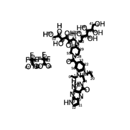 CCn1c(CNC(=O)c2nc3cc[nH]c3nc2N)[n+](CC)c2ccc(C(=O)N3CCC(N(C[C@H](O)[C@@H](O)[C@H](O)[C@H](O)CO)C[C@H](O)[C@@H](O)[C@H](O)[C@H](O)CO)CC3)cc21.O=C(O)C(F)(F)F.O=C([O-])C(F)(F)F